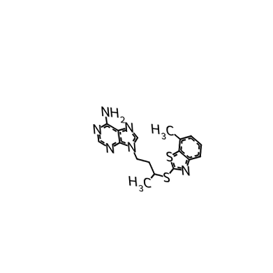 Cc1cccc2nc(SC(C)CCn3cnc4c(N)ncnc43)sc12